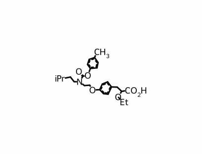 CCOC(Cc1ccc(OCCN(CCC(C)C)C(=O)Oc2ccc(C)cc2)cc1)C(=O)O